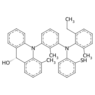 CCc1cccc(C)c1N(c1ccccc1S)c1cccc(N2c3ccccc3[C@@H](O)c3cccc(C)c32)c1C